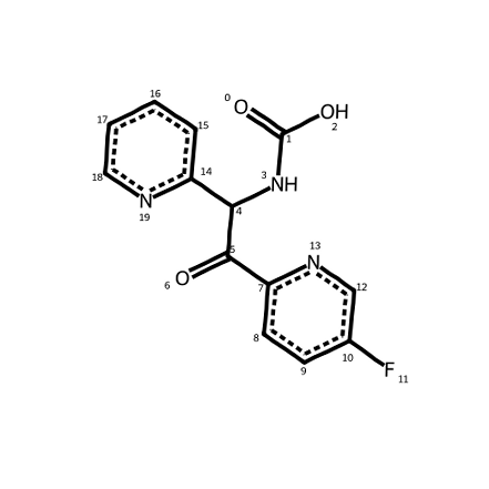 O=C(O)NC(C(=O)c1ccc(F)cn1)c1ccccn1